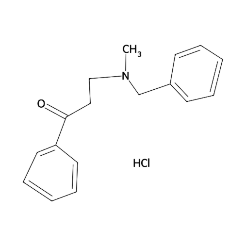 CN(CCC(=O)c1ccccc1)Cc1ccccc1.Cl